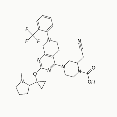 CN1CCCC1C1(Oc2nc3c(c(N4CCN(C(=O)O)C(CC#N)C4)n2)CCN(c2ccccc2C(F)(F)F)C3)CC1